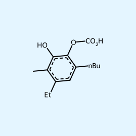 CCCCc1cc(CC)c(C)c(O)c1OC(=O)O